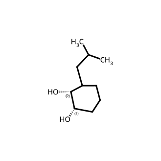 CC(C)CC1CCC[C@H](O)[C@@H]1O